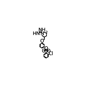 N=C(N)N1CCCC(COc2cccc(OS(=O)(=O)c3ccccc3Cl)c2)C1